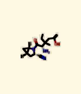 C=C(O)CC(C)(CC)[C@H](N)C(=O)N1[C@H](C#N)C[C@@H]2C[C@@H]21